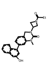 CCC(=O)N1CC(N2Cc3ccc(-c4cc(O)cc5ccccc45)cc3N(C)C2=O)C1